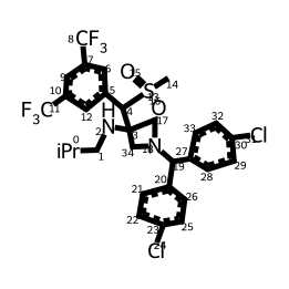 CC(C)CNC1(C(c2cc(C(F)(F)F)cc(C(F)(F)F)c2)S(C)(=O)=O)CN(C(c2ccc(Cl)cc2)c2ccc(Cl)cc2)C1